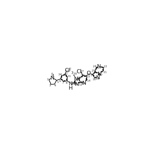 CN1CCCC1c1cc(Nc2nc3ncc(Oc4cnn5ccncc45)c(Cl)c3n2C)cc(C(F)(F)F)c1